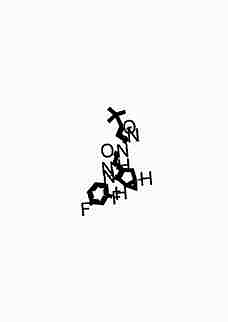 CC(C)(C)c1cc(NC(=O)c2nn(-c3ccc(F)cc3F)c3c2C[C@H]2C[C@@H]32)no1